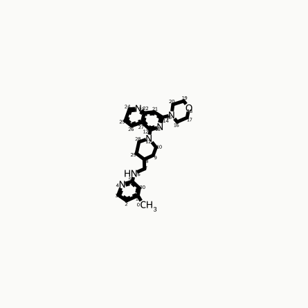 Cc1ccnc(NCC2CCN(c3nc(N4CCOCC4)cc4ncccc34)CC2)c1